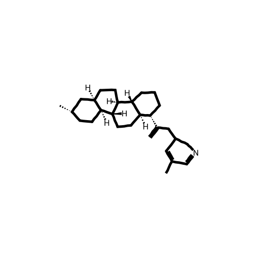 C=C(CC1C=C(C)C=NC1)[C@H]1CCC[C@H]2[C@@H]3CC[C@@H]4C[C@@H](C)CC[C@@H]4[C@H]3CC[C@@H]21